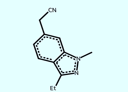 CCc1nn(C)c2cc(CC#N)ccc12